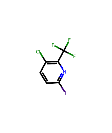 FC(F)(F)c1nc(I)ccc1Cl